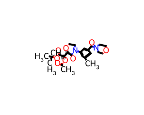 CC(=O)O[C@@H](C(=O)OC(C)(C)C)[C@H]1OCCN(c2cc(C)cc(C(=O)N3CCOCC3)c2)C1=O